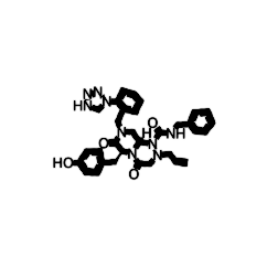 C=CCN1CC(=O)N2[C@@H](Cc3ccc(O)cc3)C(=O)N(Cc3ccccc3N3CNN=N3)C[C@@H]2N1C(=O)NCc1ccccc1